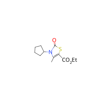 CCOC(=O)c1sc(=O)n(C2CCCC2)c1C